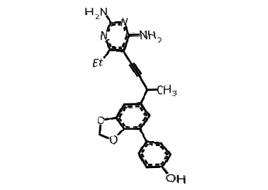 CCc1nc(N)nc(N)c1C#CC(C)c1cc2c(c(-c3ccc(O)cc3)c1)OCO2